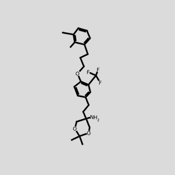 Cc1cccc(CCCOc2ccc(CCC3(N)COC(C)(C)OC3)cc2C(F)(F)F)c1C